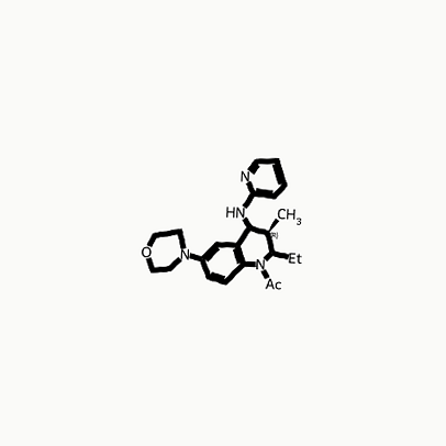 CCC1[C@H](C)C(Nc2ccccn2)c2cc(N3CCOCC3)ccc2N1C(C)=O